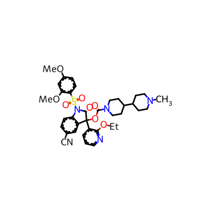 CCOc1ncccc1C1(OC(=O)N2CCC(C3CCN(C)CC3)CC2)C(=O)N(S(=O)(=O)c2ccc(OC)cc2OC)c2ccc(C#N)cc21